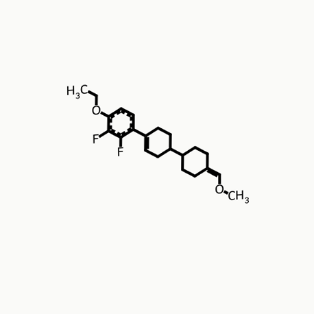 CCOc1ccc(C2=CCC(C3CCC(=COC)CC3)CC2)c(F)c1F